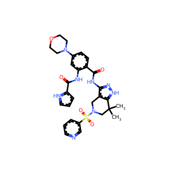 CC1(C)CN(S(=O)(=O)c2cccnc2)Cc2c(NC(=O)c3ccc(N4CCOCC4)cc3NC(=O)c3ccc[nH]3)n[nH]c21